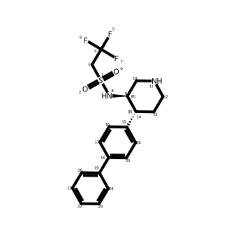 O=S(=O)(CC(F)(F)F)N[C@H]1CNCC[C@@H]1c1ccc(-c2ccccc2)cc1